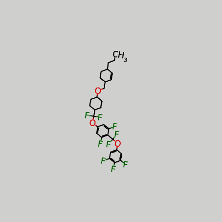 CCCC1C=CC(COC2CCC(C(F)(F)Oc3cc(F)c(C(F)(F)Oc4cc(F)c(F)c(F)c4)c(F)c3)CC2)CC1